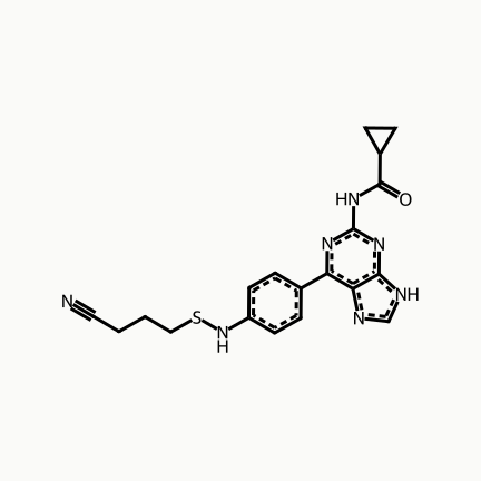 N#CCCCSNc1ccc(-c2nc(NC(=O)C3CC3)nc3[nH]cnc23)cc1